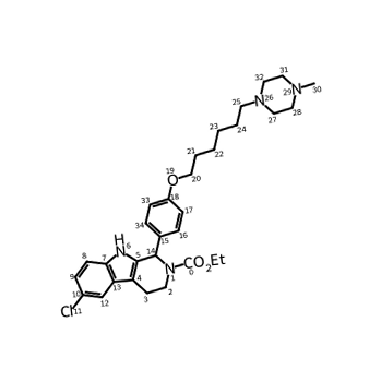 CCOC(=O)N1CCc2c([nH]c3ccc(Cl)cc23)C1c1ccc(OCCCCCCN2CCN(C)CC2)cc1